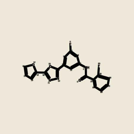 O=C(Nc1cc(F)cc(-c2nnc(-c3ccco3)o2)c1)c1ccccc1F